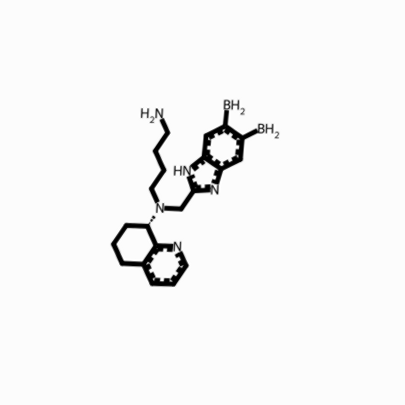 Bc1cc2nc(CN(CCCCN)[C@H]3CCCc4cccnc43)[nH]c2cc1B